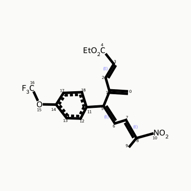 C=C(/C=C/C(=O)OCC)/C(=C\C=C(/C)[N+](=O)[O-])c1ccc(OC(F)(F)F)cc1